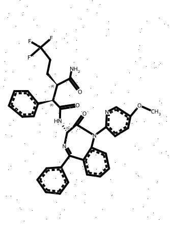 COc1ccc(N2C(=O)[C@@H](NC(=O)[C@@H](c3ccccc3)[C@@H](CCC(F)(F)F)C(N)=O)N=C(c3ccccc3)c3ccccc32)nc1